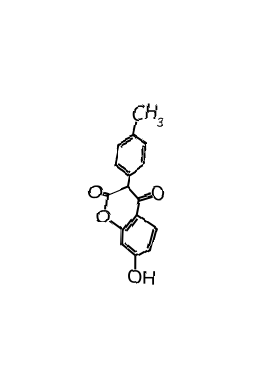 Cc1ccc(C2C(=O)Oc3cc(O)ccc3C2=O)cc1